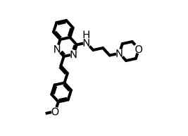 COc1ccc(/C=C/c2nc(NCCCN3CCOCC3)c3ccccc3n2)cc1